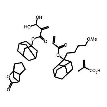 C=C(C(=O)OC12CC3CC(CC(C3)C1)C2)C(O)O.C=C(C)C(=O)O.C=CC(=O)OC1(CCCCOC)C2CC3CC(C2)CC1C3.O=C1OC2C3CCC2C1C3